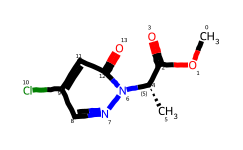 COC(=O)[C@H](C)n1ncc(Cl)cc1=O